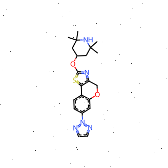 CC1(C)CC(Oc2nc3c(s2)-c2ccc(-n4nccn4)cc2OC3)CC(C)(C)N1